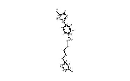 Cc1cc(CCCCCOc2ccc(-c3nc(C)co3)cc2)on1